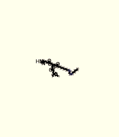 C=CCC(CC)(CC)CCC(=O)OCC(COC(=O)CCCCCCC/C=C\C/C=C\CCCCC)COC(=O)CCc1c[nH]cn1